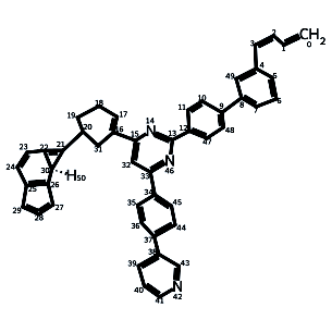 C=C/C=C\c1cccc(-c2ccc(-c3nc(C4=CCCC(C5=C6C=CC7=C(C=C=C7)[C@@H]65)C4)cc(-c4ccc(-c5cccnc5)cc4)n3)cc2)c1